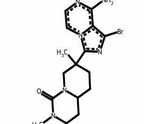 CN1CCC2CCC(C)(c3nc(Br)c4c(N)nccn34)CN2C1=O